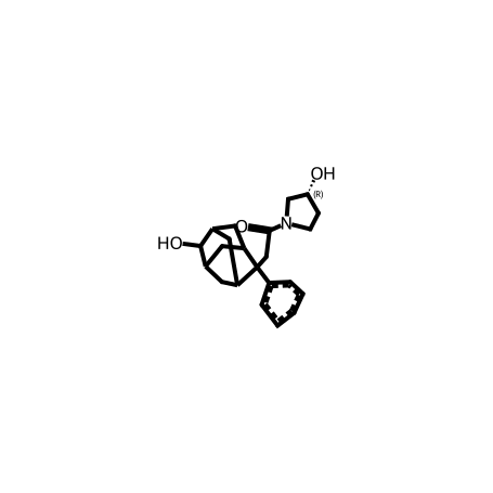 O=C(CC1(c2ccccc2)C2CC3CC1CC(C2)C3O)N1CC[C@@H](O)C1